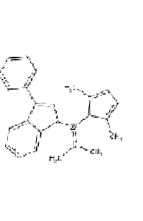 CC1=CC=C(C)[CH]1[Zr]([CH]1C=C(c2ccccc2)c2ccccc21)=[Si](C)C